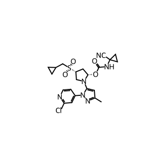 Cc1cc(N2C[C@H](S(=O)(=O)CC3CC3)C[C@@H]2OC(=O)NC2(C#N)CC2)n(-c2ccnc(Cl)c2)n1